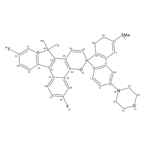 CSC1=CC=C(C2(c3ccc(N4CCOCC4)cc3)C=Cc3c4c(c5ccc(F)cc5c3O2)-c2ccc(F)cc2C4(C)C)CC1